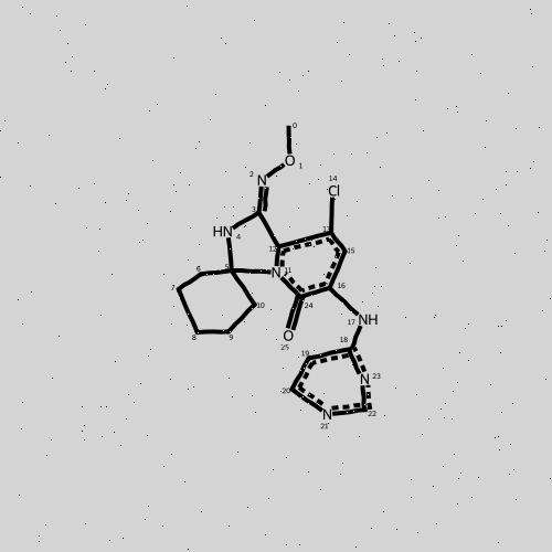 CO/N=C1/NC2(CCCCC2)n2c1c(Cl)cc(Nc1ccncn1)c2=O